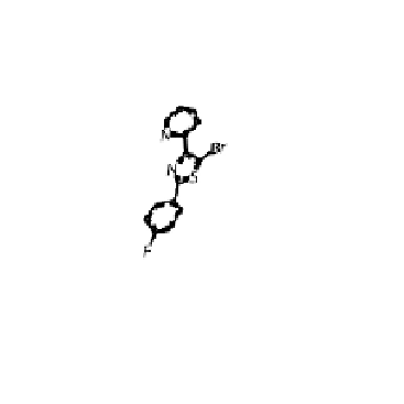 Fc1ccc(-c2nc(-c3ccccn3)c(Br)s2)cc1